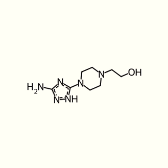 Nc1n[nH]c(N2CCN(CCO)CC2)n1